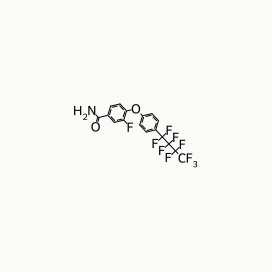 NC(=O)c1ccc(Oc2ccc(C(F)(F)C(F)(F)C(F)(F)C(F)(F)F)cc2)c(F)c1